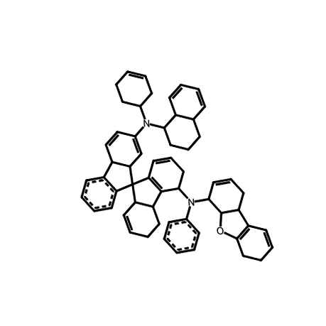 C1=CC2CCCC(N(C3=CC4C(C=C3)c3ccccc3C43C4=C(C5CCC=CC53)C(N(c3ccccc3)C3C=CCC5C6=C(CCC=C6)OC53)CC=C4)C3CC=CCC3)C2C=C1